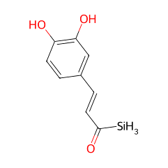 O=C([SiH3])C=Cc1ccc(O)c(O)c1